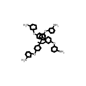 CC(Cc1cc(Oc2cccc(N)c2)ccc1-c1ccc(Oc2cccc(N)c2)cc1)(c1ccc(Oc2cccc(N)c2)cc1)c1ccc(Oc2cccc(N)c2)cc1